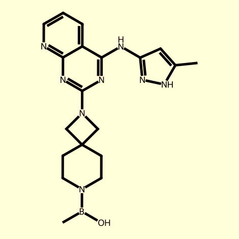 CB(O)N1CCC2(CC1)CN(c1nc(Nc3cc(C)[nH]n3)c3cccnc3n1)C2